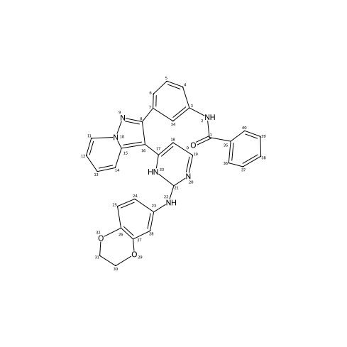 O=C(Nc1cccc(-c2nn3ccccc3c2C2=CC=NC(Nc3ccc4c(c3)OCCO4)N2)c1)c1ccccc1